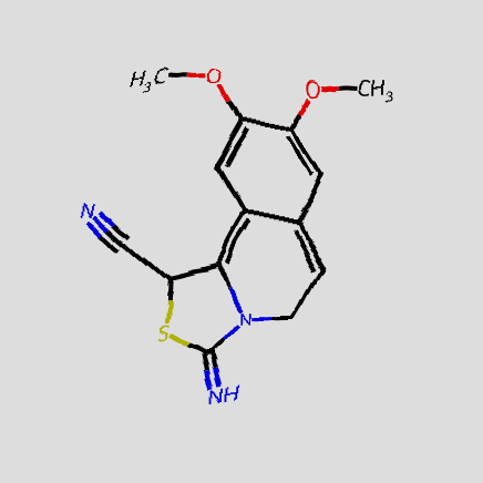 COc1cc2c(cc1OC)=C1C(C#N)SC(=N)N1CC=2